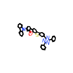 c1ccc(-c2nc(-c3ccccc3)nc(-c3ccc4c(c3)sc3c4ccc4c5ccc(-n6c7ccccc7c7ccccc76)cc5oc43)n2)cc1